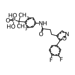 CC(C)(c1ccc(NC(=O)CCc2cnoc2-c2ccc(F)c(F)c2)cc1)P(=O)(O)O